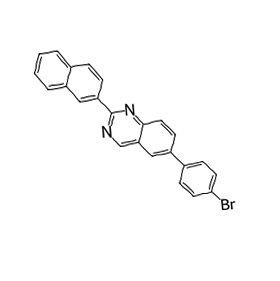 Brc1ccc(-c2ccc3nc(-c4ccc5ccccc5c4)ncc3c2)cc1